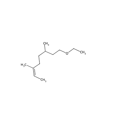 CC=C(C)CCC(C)CCOCC